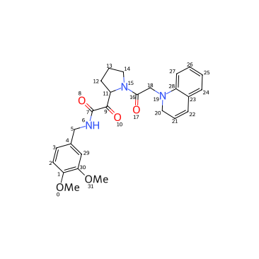 COc1ccc(CNC(=O)C(=O)C2CCCN2C(=O)CN2CC=Cc3ccccc32)cc1OC